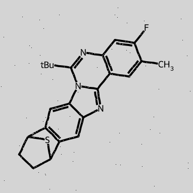 Cc1cc2c(cc1F)nc(C(C)(C)C)n1c3cc4c(cc3nc21)C1CCC4S1